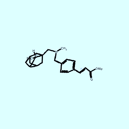 COC(=O)/C=C/c1ccc(CN(C)CC23CC4CC(C2)C(C4)[C@@H]3C)cc1